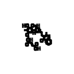 COc1cc2c(c(O)c1C)OC[C@@H]1CN(CCc3c(C)nc4ccccn4c3=O)C[C@H]21.O=C(O)/C=C/C(=O)O